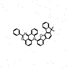 CC1(C)c2ccccc2-c2c1ccc1c2oc2c(N3c4ccccc4-c4nc(-c5ccccc5)nc5cccc3c45)cccc21